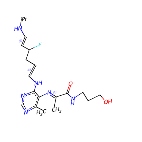 C/C(=N\c1c(C)ncnc1N/C=C/CC(F)/C=C/NC(C)C)C(=O)NCCCO